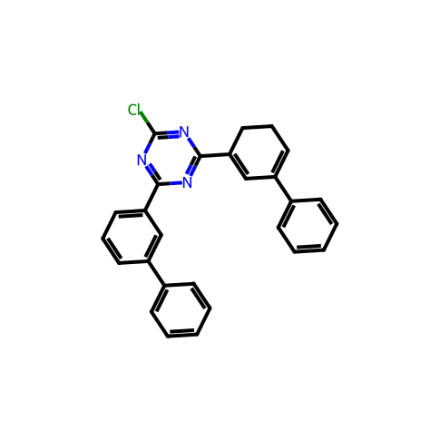 Clc1nc(C2=CC(c3ccccc3)=CCC2)nc(-c2cccc(-c3ccccc3)c2)n1